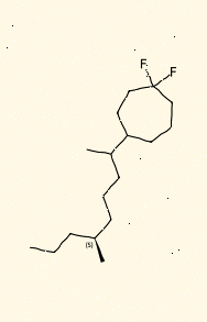 CCC[C@H](C)CCCC(C)C1CCCC(F)(F)CC1